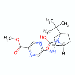 COC(=O)c1cnc(N[C@@H]2CC3(C(C)(C)C)CC[C@@H]2N3C(=O)O)cn1